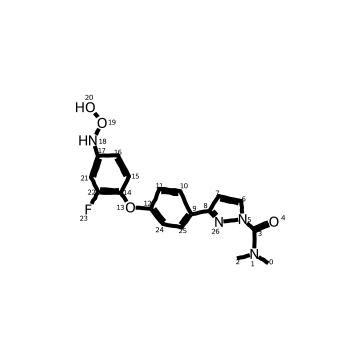 CN(C)C(=O)n1ccc(-c2ccc(Oc3ccc(NOO)cc3F)cc2)n1